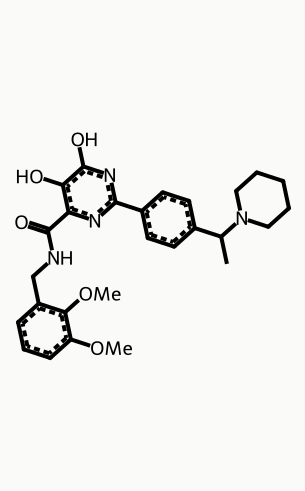 COc1cccc(CNC(=O)c2nc(-c3ccc(C(C)N4CCCCC4)cc3)nc(O)c2O)c1OC